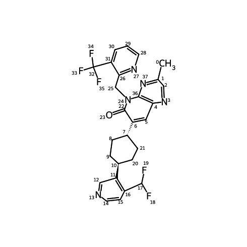 Cc1cnc2cc([C@H]3CC[C@H](c4cnccc4C(F)F)CC3)c(=O)n(Cc3ncccc3C(F)(F)F)c2n1